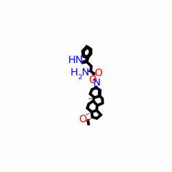 CC(=O)[C@H]1CCC2C3CCC4=C/C(=N/OC(=O)[C@@H](N)Cc5c[nH]c6ccccc56)CC[C@]4(C)C3CC[C@@]21C